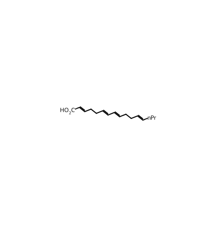 CCCC=CCCC=CC=CCCC=CC(=O)O